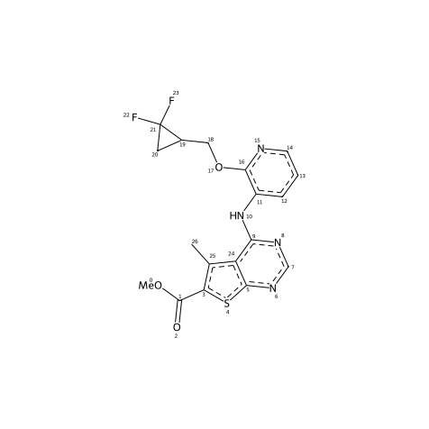 COC(=O)c1sc2ncnc(Nc3cccnc3OCC3CC3(F)F)c2c1C